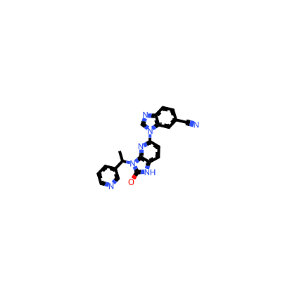 CC(c1cccnc1)n1c(=O)[nH]c2ccc(-n3cnc4ccc(C#N)cc43)nc21